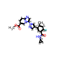 COC(=O)c1ccc2ncc(-n3cc(-c4cc(C(=O)NC5CC5)c(F)cc4C)cn3)n2c1